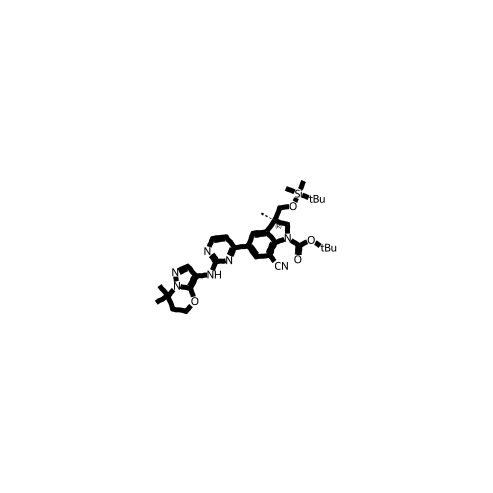 CC(C)(C)OC(=O)N1C[C@](C)(CO[Si](C)(C)C(C)(C)C)c2cc(-c3ccnc(Nc4cnn5c4OCCC5(C)C)n3)cc(C#N)c21